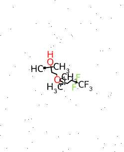 C#CC(C)(O)CCO[Si](C)(C)CCC(F)(F)C(F)(F)F